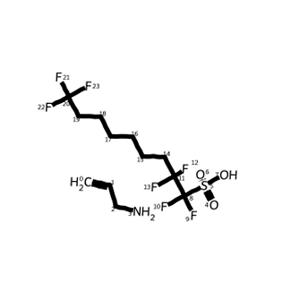 C=CCN.O=S(=O)(O)C(F)(F)C(F)(F)CCCCCCC(F)(F)F